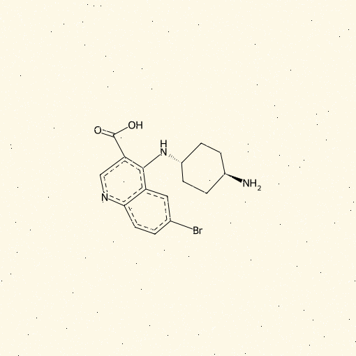 N[C@H]1CC[C@H](Nc2c(C(=O)O)cnc3ccc(Br)cc23)CC1